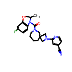 CC1COc2cc(F)ccc2N1C(=O)N1CCCCC2(C1)CN(c1cc(C#N)ccn1)C2